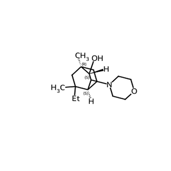 CCC1(C)C[C@@]2(C)CC[C@@H]1C(N1CCOCC1)[C@H]2O